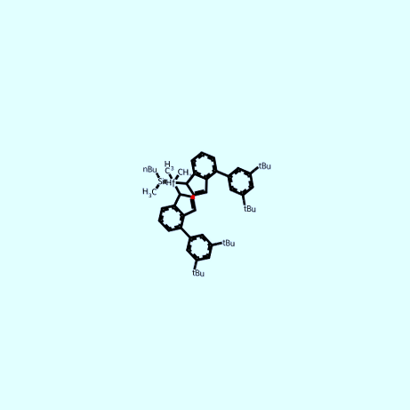 CCCC[Si](C)=[Hf]([CH3])([CH3])([CH]1C=Cc2c(-c3cc(C(C)(C)C)cc(C(C)(C)C)c3)cccc21)[CH]1C=Cc2c(-c3cc(C(C)(C)C)cc(C(C)(C)C)c3)cccc21